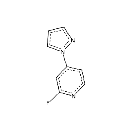 Fc1cc(-n2cccn2)ccn1